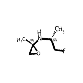 C[C@H](CF)N[C@@]1(C)CO1